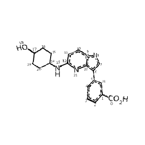 O=C(O)c1cccc(-c2cnn3ccc(NC4CCC(O)CC4)nc23)c1